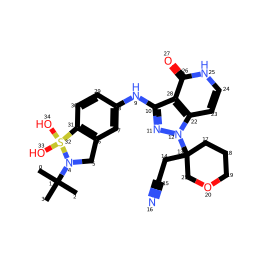 CC(C)(C)N1Cc2cc(Nc3nn(C4(CC#N)CCCOC4)c4cc[nH]c(=O)c34)ccc2S1(O)O